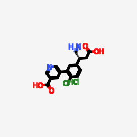 Cl.NC[C@H](CC(=O)O)c1ccc(Cl)c(-c2cncc(C(=O)O)c2)c1